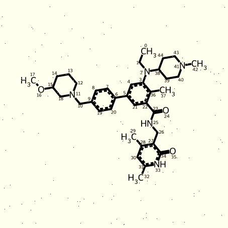 CCN(c1cc(-c2ccc(CN3CCCC(OC)C3)cc2)cc(C(=O)NCc2c(C)cc(C)[nH]c2=O)c1C)C1CCN(C)CC1